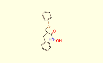 O=C(NO)C(CSc1ccccc1)Cc1ccccc1